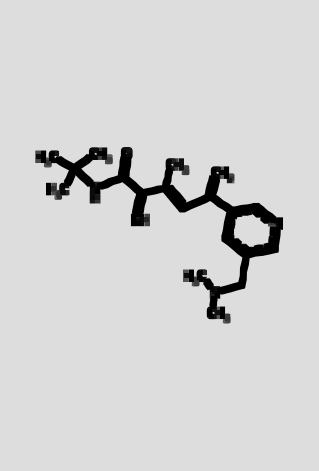 C=C(/C=C(\C)C(=N)C(=O)NC(C)(C)C)c1cncc(CN(C)C)c1